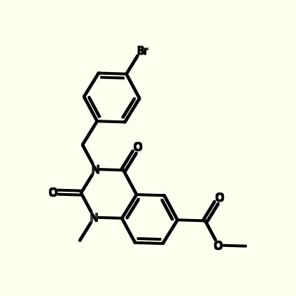 COC(=O)c1ccc2c(c1)c(=O)n(Cc1ccc(Br)cc1)c(=O)n2C